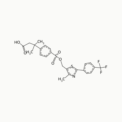 Cc1nc(-c2ccc(C(F)(F)F)cc2)sc1COS(=O)(=O)c1ccc(C(C)(C)CC(=O)O)cc1